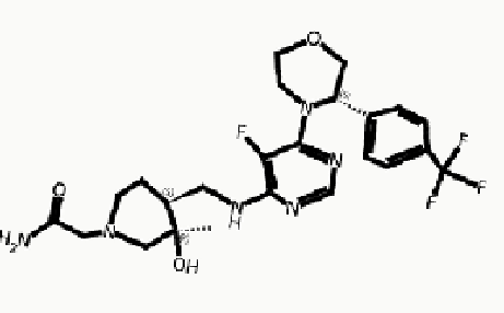 C[C@]1(O)CN(CC(N)=O)CC[C@H]1CNc1ncnc(N2CCOC[C@@H]2c2ccc(C(F)(F)F)cc2)c1F